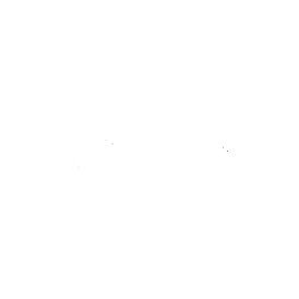 C[SiH](O[Si](C)(C)C)c1ccc(C(N)=O)cc1